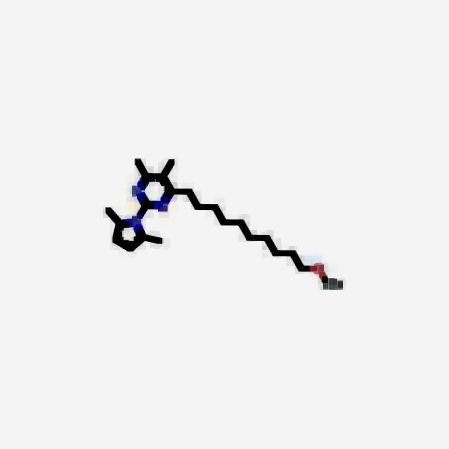 CCCCOCCCCCCCCCCc1nc(-n2c(C)ccc2C)nc(C)c1C